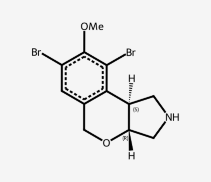 COc1c(Br)cc2c(c1Br)[C@H]1CNC[C@@H]1OC2